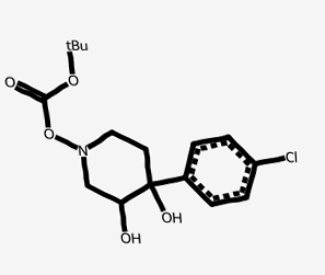 CC(C)(C)OC(=O)ON1CCC(O)(c2ccc(Cl)cc2)C(O)C1